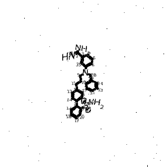 N=C(N)c1cccc(N(CCCc2ccc(-c3ccccc3S(N)(=O)=O)cc2)Cc2ccccc2)c1